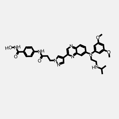 COc1cc(OC)cc(N(CCNC(C)C)c2ccc3ncc(-c4cnn(CCC(=O)Nc5ccc(C(=O)NO)cc5)c4)nc3c2)c1